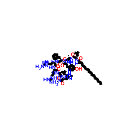 CCCCCCCCCCCCCCCC(=O)N[C@@H](CC(C)C)C(=O)N[C@@H](C)C(=O)N[C@@H](Cc1ccc(O)cc1)C(=O)N[C@@H](Cc1ccccc1)C(=O)N[C@@H](CCCNC(=N)N)C(=O)N[C@@H](CCCNC(=N)N)C(=O)N[C@@H](CC(C)C)C(=O)N[C@@H](Cc1c[nH]cn1)C(=O)NC